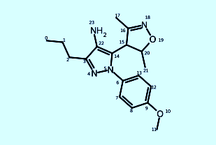 CCCc1nn(-c2ccc(OC)cc2)c(C2C(C)=NOC2C)c1N